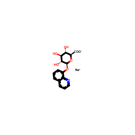 O=C([O-])[C@H]1O[C@@H](Oc2cccc3cccnc23)[C@H](O)[C@@H](O)[C@@H]1O.[Na+]